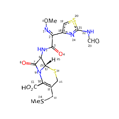 CON=C(C(=O)NC1C(=O)N2C(C(=O)O)=C(CSC)CS[C@@H]12)c1csc(NC=O)n1